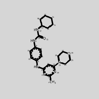 Cc1nc(Nc2ccc(NC(=O)NC3CCCCC3)cc2)cc(N2CCOCC2)n1